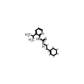 CC(C)c1cccnc1NC(=S)NCCC1=CCCCC1